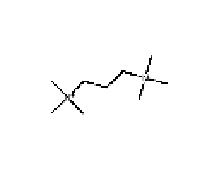 C[N+](C)(C)C[CH]C[N+](C)(C)C